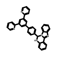 c1ccc(-c2cc(-c3ccc(C4Nc5ccccc5-c5nc6ccccc6n54)cc3)cc(-c3ccccn3)c2)nc1